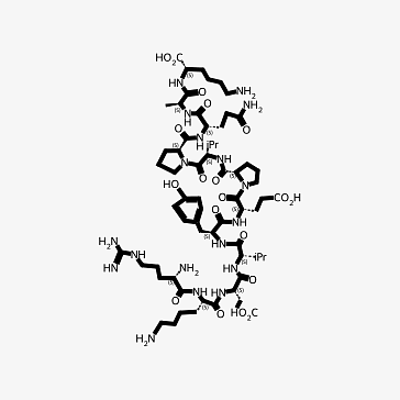 CC(C)[C@H](NC(=O)[C@H](CC(=O)O)NC(=O)[C@H](CCCCN)NC(=O)[C@@H](N)CCCNC(=N)N)C(=O)N[C@@H](Cc1ccc(O)cc1)C(=O)N[C@@H](CCC(=O)O)C(=O)N1CCC[C@H]1C(=O)N[C@H](C(=O)N1CCC[C@H]1C(=O)N[C@@H](CCC(N)=O)C(=O)N[C@@H](C)C(=O)N[C@@H](CCCCN)C(=O)O)C(C)C